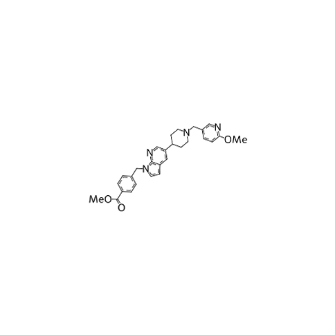 COC(=O)c1ccc(Cn2ccc3cc(C4CCN(Cc5ccc(OC)nc5)CC4)cnc32)cc1